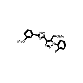 COCc1c(-c2nc(-c3cccc(OC)c3)no2)nnn1-c1ccccc1F